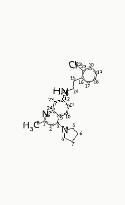 Cc1cc(N2CCCC2)c2ccc(NCCc3ccccc3Cl)cc2n1